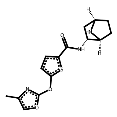 Cc1coc(Oc2ccc(C(=O)N[C@@H]3C[C@H]4CC[C@@H]3N4)s2)n1